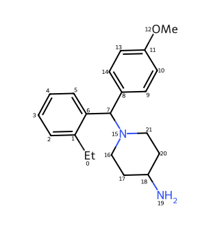 CCc1ccccc1C(c1ccc(OC)cc1)N1CCC(N)CC1